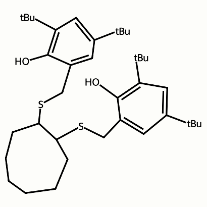 CC(C)(C)c1cc(CSC2CCCCCCC2SCc2cc(C(C)(C)C)cc(C(C)(C)C)c2O)c(O)c(C(C)(C)C)c1